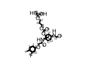 Cc1ccc(OCC(=O)NC23CCC(NC=O)(CC2)CC3OC(=O)OCCCOP(O)O)cc1F